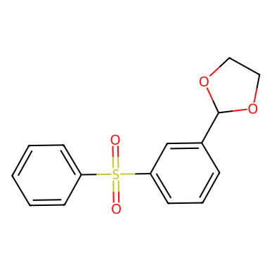 O=S(=O)(c1ccccc1)c1cccc(C2OCCO2)c1